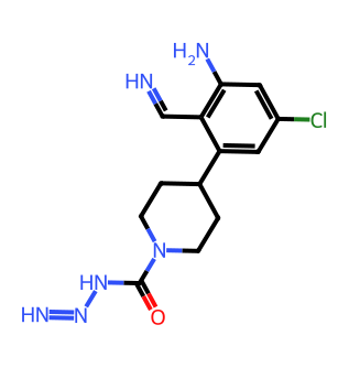 N=Cc1c(N)cc(Cl)cc1C1CCN(C(=O)NN=N)CC1